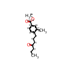 CCCC(=O)CCCc1ccc(C(=O)OC)cc1C